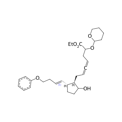 CCOC(=O)C(CC=C=CC[C@H]1C(O)CC[C@@H]1/C=C/CCOc1ccccc1)OC1CCCCO1